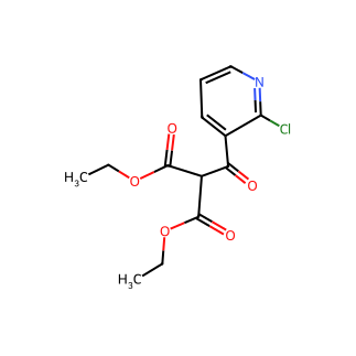 CCOC(=O)C(C(=O)OCC)C(=O)c1cccnc1Cl